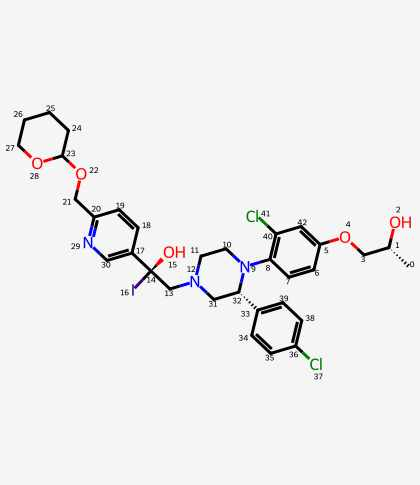 C[C@@H](O)COc1ccc(N2CCN(C[C@](O)(I)c3ccc(COC4CCCCO4)nc3)C[C@H]2c2ccc(Cl)cc2)c(Cl)c1